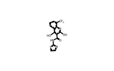 O=C(Nc1nccs1)c1c(O)nc2c(C(F)(F)F)cccc2c1O